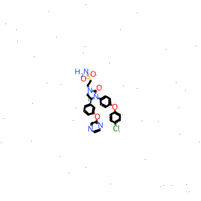 NS(=O)(=O)CCN1C[C@H](c2cccc(Oc3cnccn3)c2)N(c2ccc(Oc3ccc(Cl)cc3)cc2)C1=O